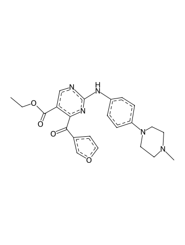 CCOC(=O)c1cnc(Nc2ccc(N3CCN(C)CC3)cc2)nc1C(=O)c1ccoc1